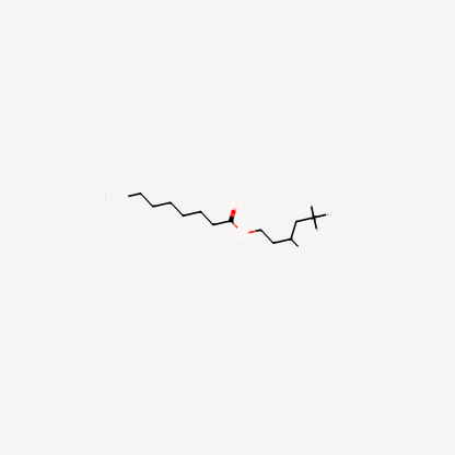 CCCCCCCC(=O)OCCC(C)CC(C)(C)C